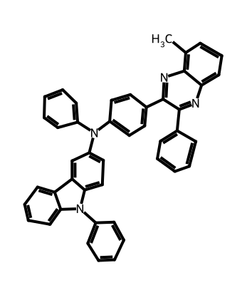 Cc1cccc2nc(-c3ccccc3)c(-c3ccc(N(c4ccccc4)c4ccc5c(c4)c4ccccc4n5-c4ccccc4)cc3)nc12